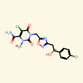 Cn1c(C(N)=O)c(Cl)c(=O)n(Cc2nc(C[C@H](O)c3ccc(Cl)cc3)no2)c1=O